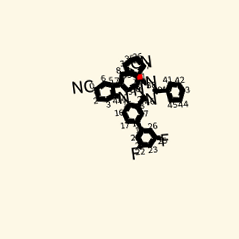 N#Cc1ccc2c(c1)c1cc(C#N)ccc1n2-c1ccc(-c2cc(F)cc(F)c2)cc1-c1nc(-c2ccccc2)nc(-c2ccccc2)n1